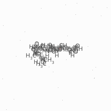 CCC(C)(C)N1CCC(c2ccc3c(C4CC(CC(C)(C)N5CCC(Nc6ccc7c(C8CC(CC(C)(C)N9CCC(c%10ccc(NC%11CCC(=O)NC%11=O)c(F)c%10)CC9)C(=O)NC8=O)nn(C)c7c6)CC5)C(=O)NC4=O)nn(C)c3c2)CC1